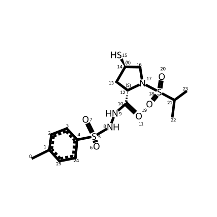 Cc1ccc(S(=O)(=O)NNC(=O)[C@@H]2C[C@@H](S)CN2S(=O)(=O)C(C)C)cc1